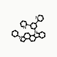 c1ccc(-n2ccc3c4ccc5c6ccccc6n(-c6cc(-c7ccccn7)cc(-c7ccccn7)c6)c5c4ccc32)cc1